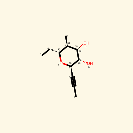 CC#C[C@H]1O[C@H](CC)[C@@H](C)[C@H](O)[C@@H]1O